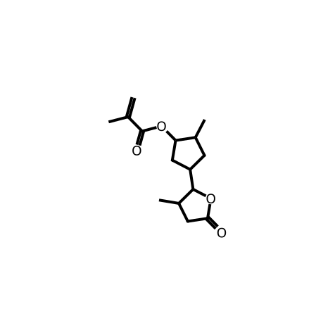 C=C(C)C(=O)OC1CC(C2OC(=O)CC2C)CC1C